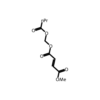 CCCC(=O)OCOC(=O)/C=C/C(=O)OC